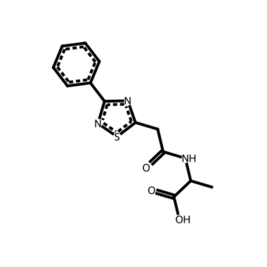 CC(NC(=O)Cc1nc(-c2ccccc2)ns1)C(=O)O